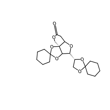 O=C1CC2OC([C@H]3COC4(CCCCC4)O3)C3OC4(CCCCC4)O[C@@]23CO1